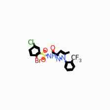 Cc1cc(C(=O)NS(=O)(=O)c2cc(Cl)ccc2Br)nn1-c1ccccc1C(F)(F)F